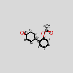 CCC(=O)Oc1ccccc1C1=CCC(=O)C=C1